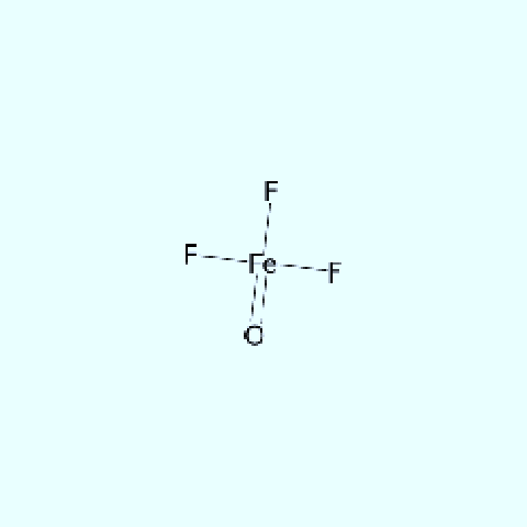 [O]=[Fe]([F])([F])[F]